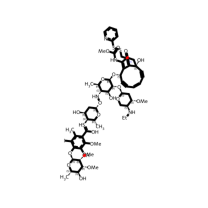 CCN[C@H]1CO[C@@H](O[C@H]2[C@H](O[C@H]3C#CC=CC#C[C@]4(O)CC(=O)C(NC(=O)OC)=C3/C4=C\CSSc3ccccn3)O[C@H](C)[C@@H](NO[C@H]3C[C@H](O)[C@H]([SH]=C(O)c4c(C)c(I)c(O[C@@H]5O[C@@H](C)[C@H](O)[C@@H](OC)[C@H]5O)c(OC)c4OC)[C@@H](C)O3)[C@@H]2O)C[C@@H]1OC